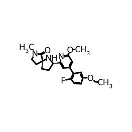 CCOc1ccc(F)c(-c2cc(OC)nc([C@H]3CC[C@]4(CCN(C)C4=O)N3)c2)c1